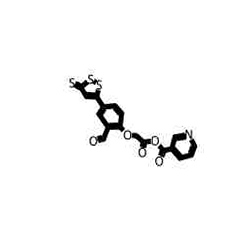 O=Cc1cc(-c2cc(=S)ss2)ccc1OCC(=O)OC(=O)c1cccnc1